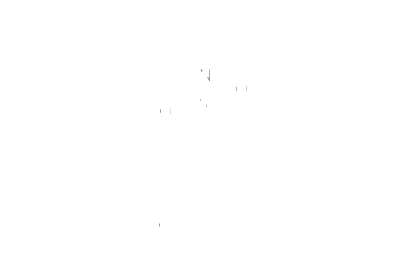 O=S(=O)(CCCCl)N(Cc1ccccc1)Cc1ccccc1